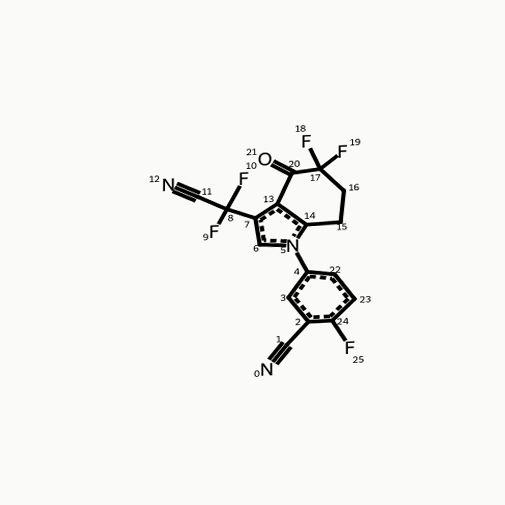 N#Cc1cc(-n2cc(C(F)(F)C#N)c3c2CCC(F)(F)C3=O)ccc1F